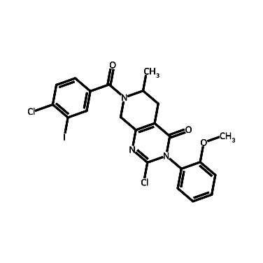 COc1ccccc1-n1c(Cl)nc2c(c1=O)CC(C)N(C(=O)c1ccc(Cl)c(I)c1)C2